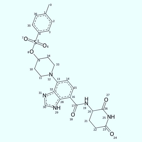 Cc1ccc(S(=O)(=O)OC2CCN(c3ccc(C(=O)NC4CCC(=O)NC4=O)c4[nH]cnc34)CC2)cc1